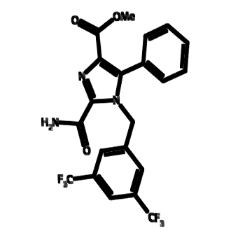 COC(=O)c1nc(C(N)=O)n(Cc2cc(C(F)(F)F)cc(C(F)(F)F)c2)c1-c1ccccc1